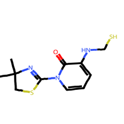 CC1(C)CSC(n2cccc(NCS)c2=O)=N1